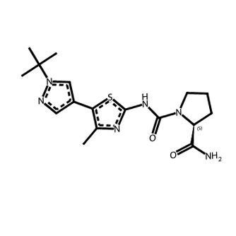 Cc1nc(NC(=O)N2CCC[C@H]2C(N)=O)sc1-c1cnn(C(C)(C)C)c1